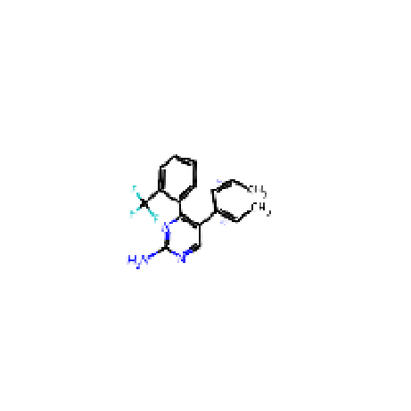 C/C=C\C(=C/C)c1cnc(N)nc1-c1ccccc1C(F)(F)F